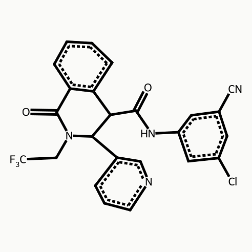 N#Cc1cc(Cl)cc(NC(=O)C2c3ccccc3C(=O)N(CC(F)(F)F)C2c2cccnc2)c1